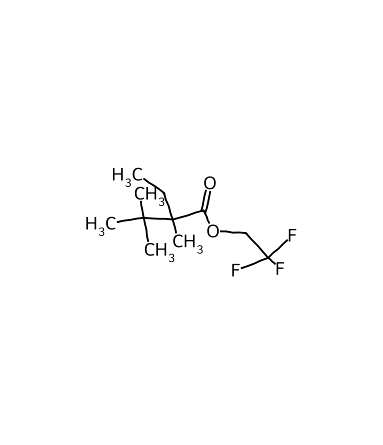 CCC(C)(C(=O)OCC(F)(F)F)C(C)(C)C